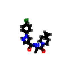 CC(NC(=O)c1cnn(-c2ccc(Cl)cc2)c1)C(=O)N1CCC2(CC1)CC2